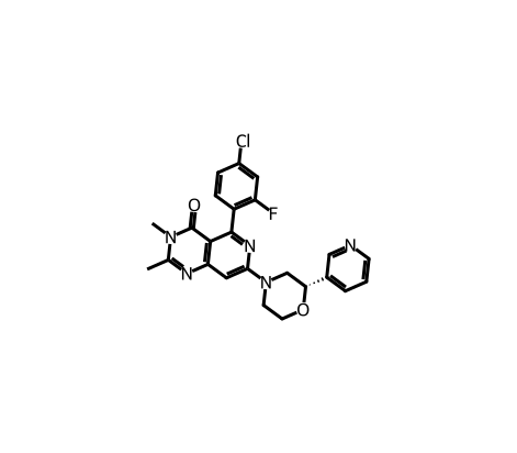 Cc1nc2cc(N3CCO[C@@H](c4cccnc4)C3)nc(-c3ccc(Cl)cc3F)c2c(=O)n1C